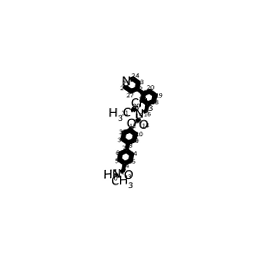 CNC(=O)c1ccc(-c2ccc(OC(=O)N(Cc3cccc(-c4ccncc4)c3)C(C)C)cc2)cc1